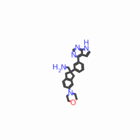 NCC1(c2cccc(-c3ncnc4[nH]ccc34)c2)Cc2ccc(N3CCOCC3)cc2C1